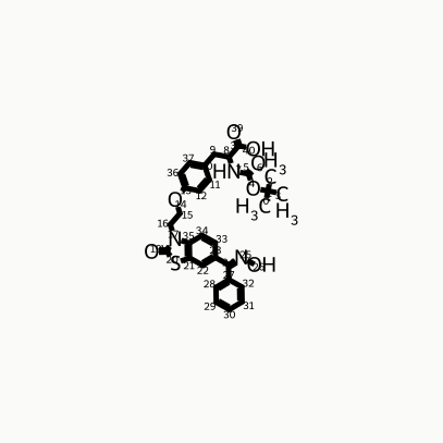 CC(C)(C)OC(=O)NC(Cc1ccc(OCCn2c(=O)sc3cc(/C(=N/O)c4ccccc4)ccc32)cc1)C(=O)O